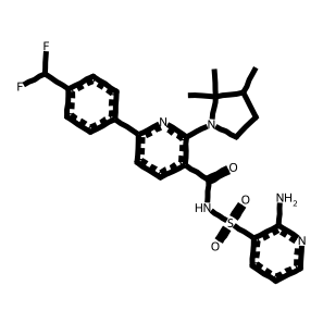 CC1CCN(c2nc(-c3ccc(C(F)F)cc3)ccc2C(=O)NS(=O)(=O)c2cccnc2N)C1(C)C